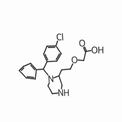 O=C(O)COCCC1CNCCN1C(c1ccccc1)c1ccc(Cl)cc1